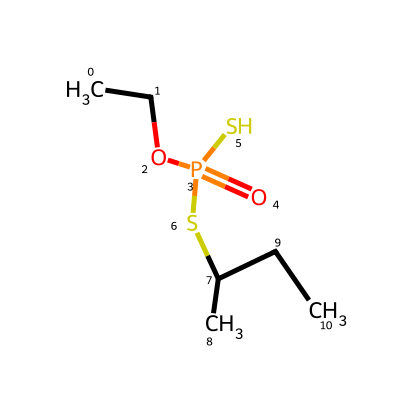 CCOP(=O)(S)SC(C)CC